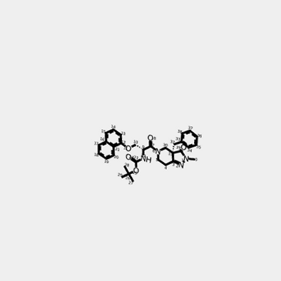 CN1N=C2CCN(C(=O)[C@@H](COc3cccc4ccccc34)NC(=O)OC(C)(C)C)C[C@@]2(Cc2ccccc2)C1=O